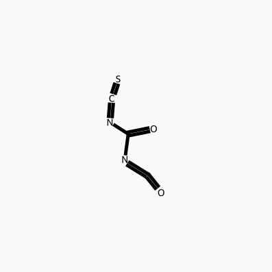 O=C=NC(=O)N=C=S